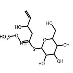 C=CC(O)C/C(=N\OS(=O)(=O)O)SC1OC(CO)C(O)C(O)C1O